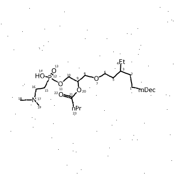 CCCCCCCCCCCCC(CC)CCOCC(COP(=O)(O)CCN(C)C)OC(=O)CCC